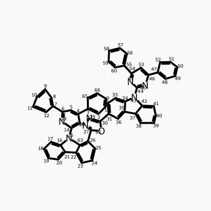 c1ccc(-c2cc(-c3ccccc3)nc(-n3c4ccccc4c4cccc(-c5nnc(-c6ccc7c(c6)c6ccccc6n7-c6nc(-c7ccccc7)cc(-c7ccccc7)n6)o5)c43)c2)cc1